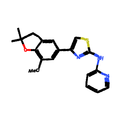 COc1cc(-c2csc(Nc3ccccn3)n2)cc2c1OC(C)(C)C2